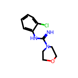 N=C(Nc1ccccc1Cl)N1CCOCC1